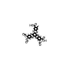 Cc1cc2nc3c(nc2cc1C(=O)O)c1nc2cc(OC=O)c(OC=O)cc2nc1c1nc2cc(OC=O)c(C(=O)O)cc2nc31